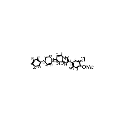 COc1cc(C)c(-c2cn3ccc(N4CCN(c5ccccc5)CC4)cc3n2)cc1Cl